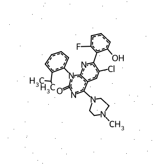 CC(C)c1ccccc1-n1c(=O)nc(N2CCN(C)CC2)c2cc(Cl)c(-c3c(O)cccc3F)nc21